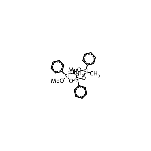 CO[Si](C)(O[Si](C)(O[Si](C)(OC)c1ccccc1)c1ccccc1)c1ccccc1